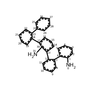 Nc1ccccc1-c1ccccc1-c1cccc(-c2ccccc2-c2ccccc2)c1N